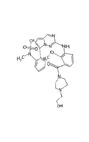 COc1c(Nc2ncc3ccc(-c4ccccc4N(C)S(C)(=O)=O)n3n2)cccc1C(=O)N1CCN(CCO)CC1